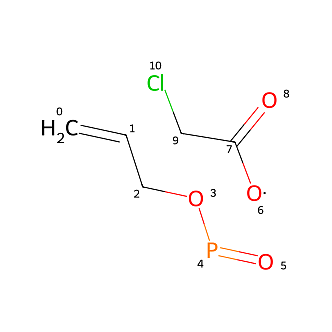 C=CCOP=O.[O]C(=O)CCl